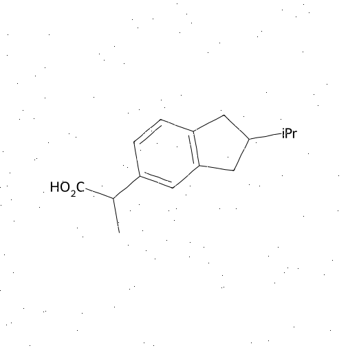 CC(C(=O)O)c1ccc2c(c1)CC(C(C)C)C2